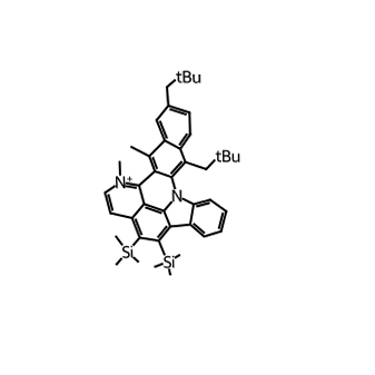 Cc1c2cc(CC(C)(C)C)ccc2c(CC(C)(C)C)c2c1c1c3c(cc[n+]1C)c([Si](C)(C)C)c([Si](C)(C)C)c1c4ccccc4n2c13